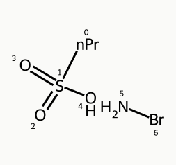 CCCS(=O)(=O)O.NBr